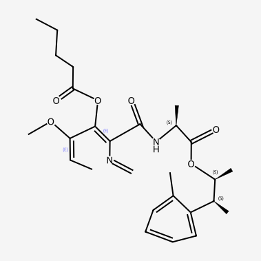 C=N/C(C(=O)N[C@@H](C)C(=O)O[C@@H](C)[C@@H](C)c1ccccc1C)=C(OC(=O)CCCC)\C(=C/C)OC